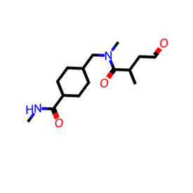 CNC(=O)C1CCC(CN(C)C(=O)C(C)CC=O)CC1